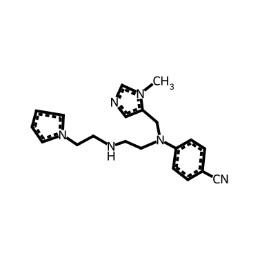 Cn1cncc1CN(CCNCCn1cccc1)c1ccc(C#N)cc1